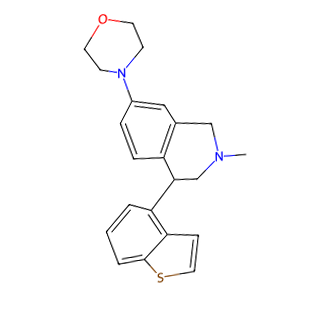 CN1Cc2cc(N3CCOCC3)ccc2C(c2cccc3sccc23)C1